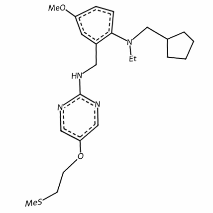 CCN(CC1CCCC1)c1ccc(OC)cc1CNc1ncc(OCCSC)cn1